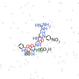 CC[C@H](C)[C@H](NC(=O)c1ccccc1)C(=O)N[C@@H](CCC(=O)O)C(=O)NCC(=O)N[C@@H](CCCNC(=N)N)C(=O)Nc1ccc([N+](=O)[O-])cc1.Cl